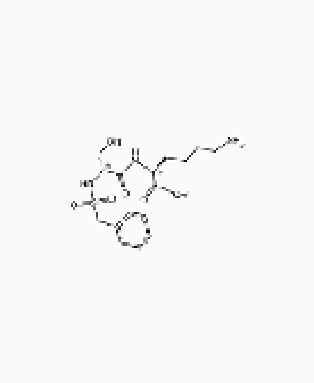 NCCCC[C@H](NC(=O)[C@@H](CO)NS(=O)(=O)Cc1ccccc1)C(=O)O